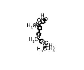 C[C@H](C1CCN(C(=O)OC(C)(C)C)CC1)N1CCC(c2ccc3c(C4CCC(=O)NC4=O)nn(C)c3c2)CC1